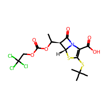 CC(OC(=O)OCC(Cl)(Cl)Cl)[C@H]1C(=O)N2C(C(=O)O)=C(SC(C)(C)C)S[C@H]12